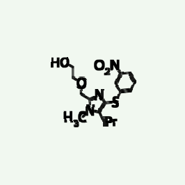 CC(C)c1c(Sc2cccc([N+](=O)[O-])c2)nc(COCCO)n1C